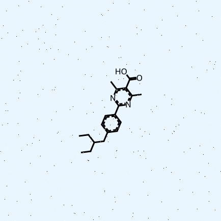 CCC(CC)Cc1ccc(-c2nc(C)c(C(=O)O)c(C)n2)cc1